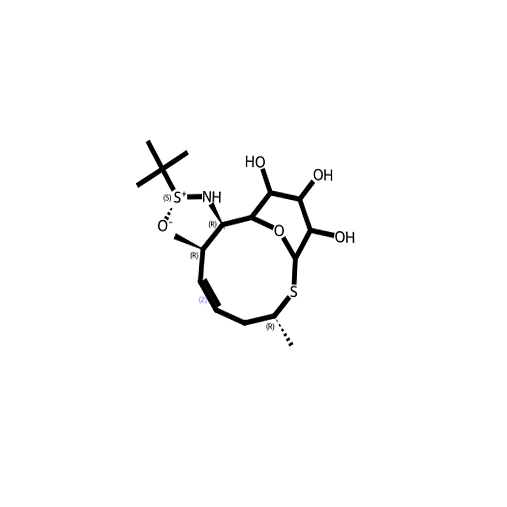 C[C@@H]1C/C=C\[C@@H](C)[C@@H](N[S@+]([O-])C(C)(C)C)C2OC(S1)C(O)C(O)C2O